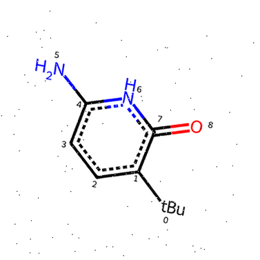 CC(C)(C)c1ccc(N)[nH]c1=O